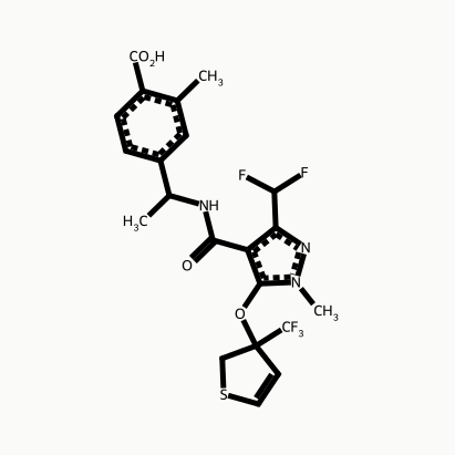 Cc1cc(C(C)NC(=O)c2c(C(F)F)nn(C)c2OC2(C(F)(F)F)C=CSC2)ccc1C(=O)O